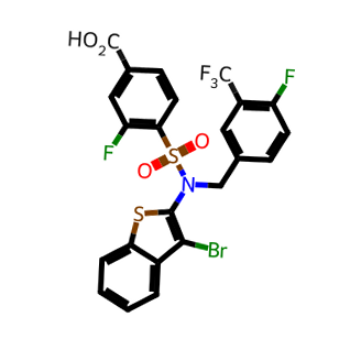 O=C(O)c1ccc(S(=O)(=O)N(Cc2ccc(F)c(C(F)(F)F)c2)c2sc3ccccc3c2Br)c(F)c1